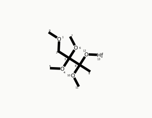 COCC(OC)(OC)C(C)(OC)[O][Hf]